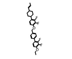 C/C=C/C1CCC(c2ccc(OCc3ccc(-c4ccc(OCC)c(F)c4F)cc3)c(F)c2F)CC1